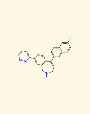 Fc1ccc2cc(C3=CCNCc4cc(-c5cccnn5)ccc43)ccc2c1